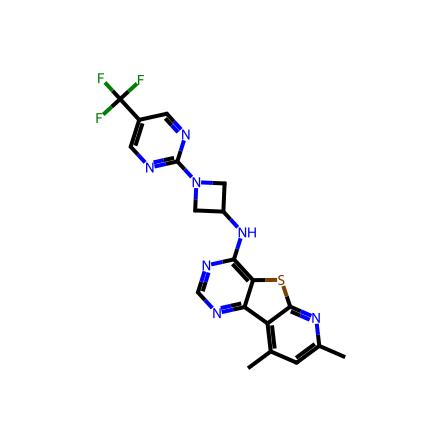 Cc1cc(C)c2c(n1)sc1c(NC3CN(c4ncc(C(F)(F)F)cn4)C3)ncnc12